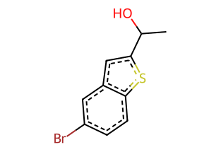 CC(O)c1cc2cc(Br)ccc2s1